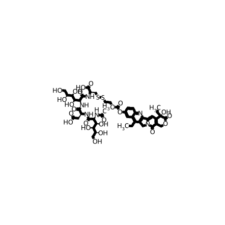 CCc1c2c(nc3ccc(OC(=O)OCCSSC[C@@H](NC(=O)[C@@H](NC(=O)[C@H](CC(=O)O)NC(=O)[C@@H](NC(C)=O)[C@@H](O)[C@H](O)[C@H](O)CO)[C@@H](O)[C@H](O)[C@H](O)CO)C(=O)O)cc13)-c1cc3c(c(=O)n1C2)COC(=O)[C@]3(O)CC